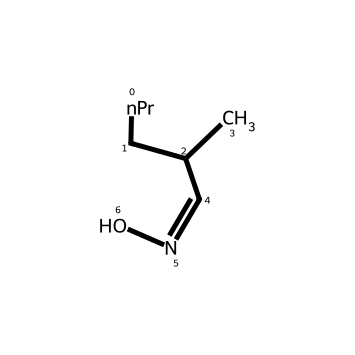 [CH2]CCCC(C)/C=N\O